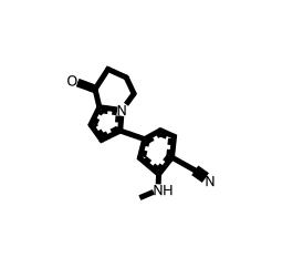 CNc1cc(-c2ccc3n2CCCC3=O)ccc1C#N